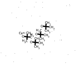 CC(C)(C)[O-].CC(C)(C)[O-].CC(C)(C)[O-].CC(C)(C)[O-].[Ce+4]